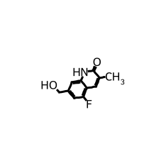 Cc1cc2c(F)cc(CO)cc2[nH]c1=O